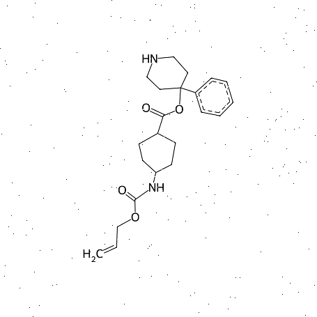 C=CCOC(=O)NC1CCC(C(=O)OC2(c3ccccc3)CCNCC2)CC1